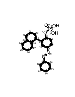 O=P(O)(O)Oc1ccc(N=Nc2ccccc2)cc1-c1cccc2ccccc12